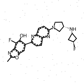 Cc1nc2c(F)c(O)c(-c3ccc4nc(N5CC[C@H](N[C@H]6C[C@H](F)C6)C5)ccc4n3)cc2o1